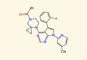 CC(C)C(=O)N1CCN(c2ncnc3c2c(-c2ccccc2F)cn3-c2cc(C#N)ccn2)C2(CC2)C1